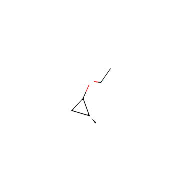 CCOC1C[C@@H]1C